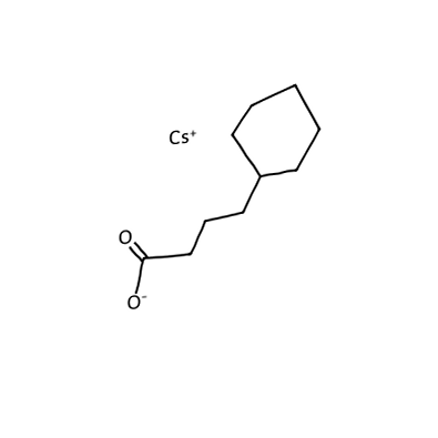 O=C([O-])CCCC1CCCCC1.[Cs+]